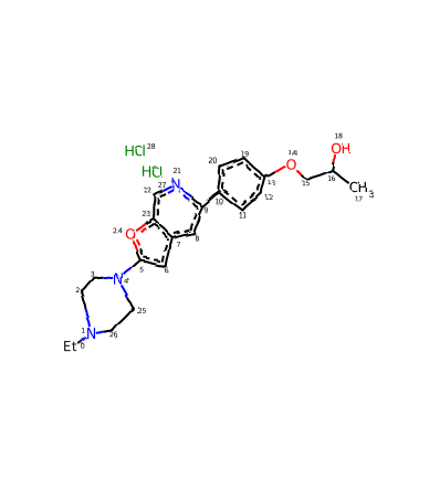 CCN1CCN(c2cc3cc(-c4ccc(OCC(C)O)cc4)ncc3o2)CC1.Cl.Cl